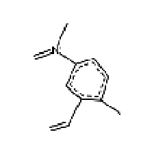 C=Cc1cc([N+](=C)C)ccc1C